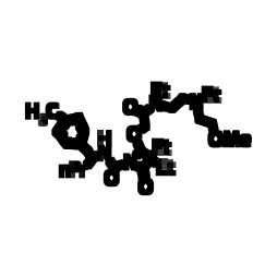 CCCC(NC(=O)N1C(=O)C(CC)(CC)C1OCC(=O)N(CC)CCN(CC)CCOC)c1ccc(C)cc1